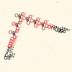 [Gd+3].[Gd+3].[Gd+3].[Gd+3].[Gd+3].[O-2].[O-2].[O-2].[O-2].[O-2].[O-2].[O-]B([O-])[O-].[O-]B([O-])[O-].[O-]B([O-])[O-].[O-]B([O-])[O-].[O-]B([O-])[O-].[O-]B([O-])[O-].[Y+3].[Y+3].[Y+3].[Y+3].[Y+3]